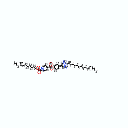 CCCCCCCCCCCc1ncc(-c2ccc(OC(=O)C3CCN(C(=O)OCCCCCCCC)CC3)cc2)cn1